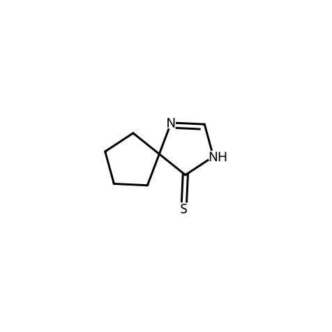 S=C1NC=NC12CCCC2